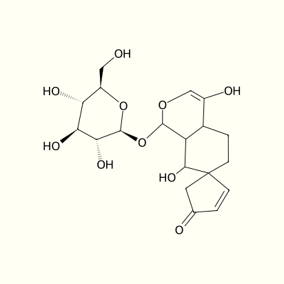 O=C1C=CC2(CCC3C(O)=COC(O[C@@H]4O[C@H](CO)[C@@H](O)[C@H](O)[C@H]4O)C3C2O)C1